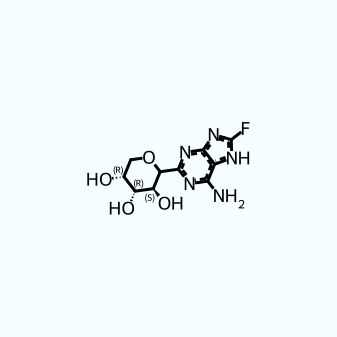 Nc1nc(C2OC[C@@H](O)[C@@H](O)[C@@H]2O)nc2nc(F)[nH]c12